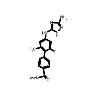 CNC(=O)c1ccc(-c2c(F)cc(Nc3nc(N)n[nH]3)cc2C(F)(F)F)cc1